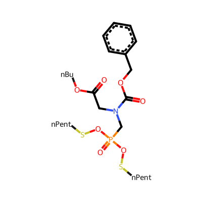 CCCCCSOP(=O)(CN(CC(=O)OCCCC)C(=O)OCc1ccccc1)OSCCCCC